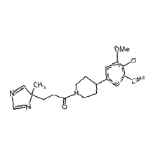 COc1cc(C2CCN(C(=O)CCC3(C)C=NC=N3)CC2)cc(OC)c1Cl